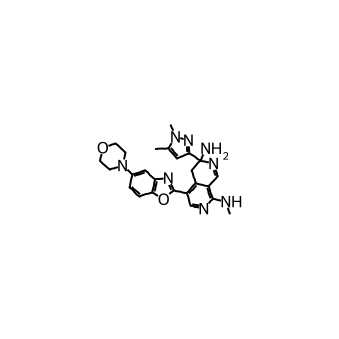 CNc1ncc(-c2nc3cc(N4CCOCC4)ccc3o2)c2c1C=NC(N)(c1cc(C)n(C)n1)C2